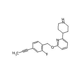 CC#Cc1ccc(COc2cccc(C3CCNCC3)n2)c(F)c1